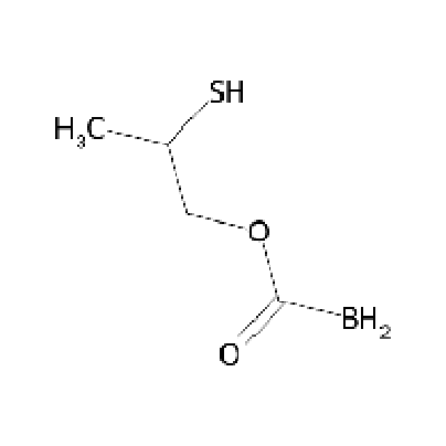 BC(=O)OCC(C)S